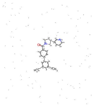 Cc1cc(C)cc(-c2ccc(C(=O)N3CCC(c4cccnc4)C3)cc2)c1